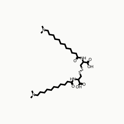 CN(C)CCCCCCCCCCCC(=O)NC(CSSCC(NC(=O)CCCCCCCCCCN(C)C)C(=O)O)C(=O)O